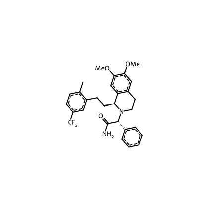 COc1cc2c(cc1OC)[C@H](CCc1cc(C(F)(F)F)ccc1C)N([C@@H](C(N)=O)c1ccccc1)CC2